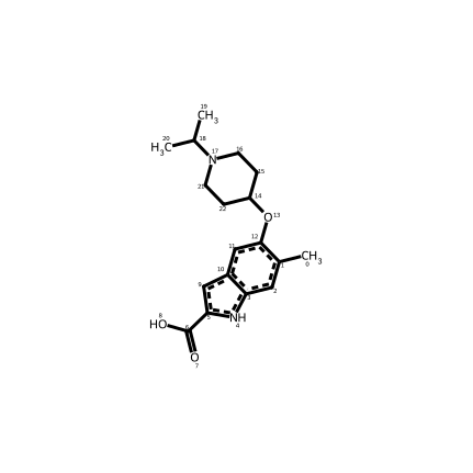 Cc1cc2[nH]c(C(=O)O)cc2cc1OC1CCN(C(C)C)CC1